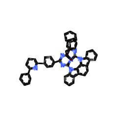 c1ccc(-c2cccc(-c3ccc(-c4nc(-c5ccccc5)nc(-n5c6ccccc6c6ccc7c8ccccc8n(-c8cccc(-c9ccccc9)n8)c7c65)n4)cc3)n2)cc1